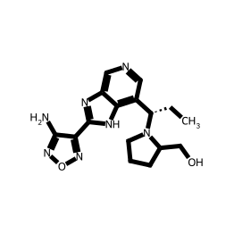 CC[C@@H](c1cncc2nc(-c3nonc3N)[nH]c12)N1CCCC1CO